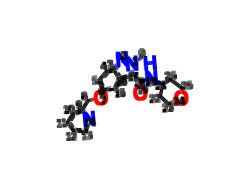 Cn1nc2ccc(OCc3ccccn3)cc2c1C(=O)NC1CCOCC1